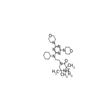 CC1(C)CN(CCN(c2nc(N3CCOCC3)nc(N3CCOCC3)n2)C2CCCCC2)C(=O)C(C)(C)N1